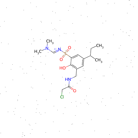 CCC(C)c1cc(CNC(=O)CCl)c(O)c(S(=O)(=O)/N=C/N(C)C)c1